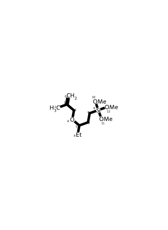 C=C(C)COC(CC)CC[Si](OC)(OC)OC